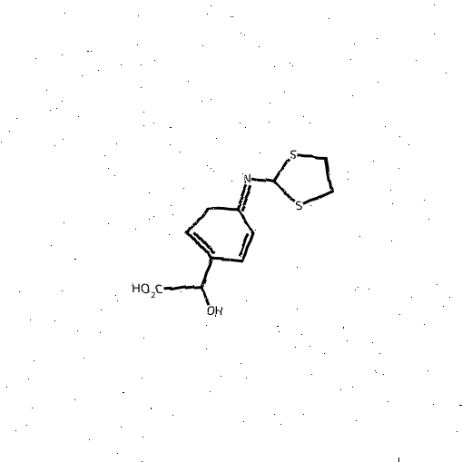 O=C(O)C(O)C1=CCC(=NC2SCCS2)C=C1